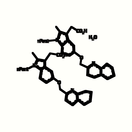 CCCCCn1c(C)c(CC(=O)O)c2cc(OCc3ccc4ccccc4n3)ccc21.CCCCCn1c(C)c(CC(=O)O)c2cc(OCc3ccc4ccccc4n3)ccc21.O